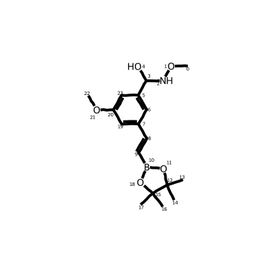 CONC(O)c1cc(/C=C/B2OC(C)(C)C(C)(C)O2)cc(OC)c1